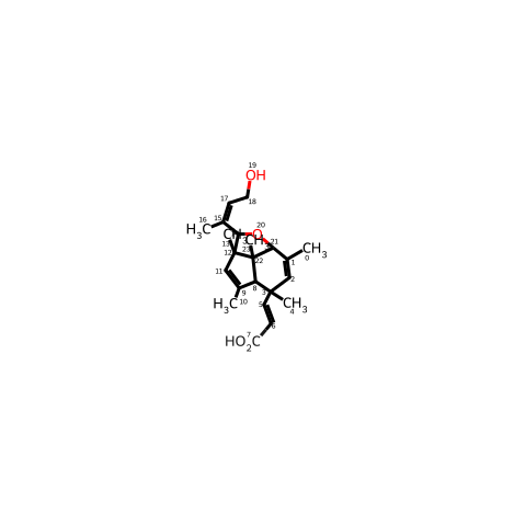 CC1=CC(C)(/C=C/C(=O)O)C2C(C)=CC3(C)C(/C(C)=C\CO)OC1C23C